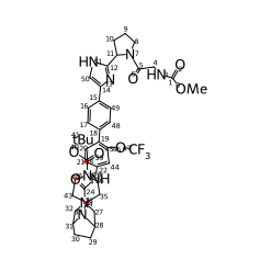 COC(=O)NCC(=O)N1CCCC1c1nc(-c2ccc(-c3ccc(NC(=O)N4CC5CCC(C4)N5C4CCN(C(=O)OC(C)(C)C)CC4)cc3OC(F)(F)F)cc2)c[nH]1